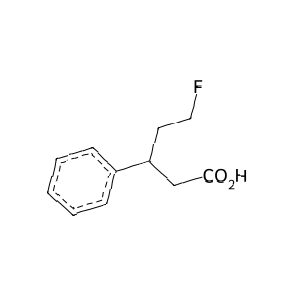 O=C(O)CC(CCF)c1ccccc1